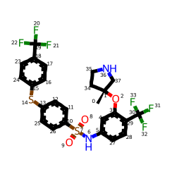 C[C@@]1(Oc2cc(NS(=O)(=O)c3ccc(Sc4ccc(C(F)(F)F)cc4)cc3)ccc2C(F)(F)F)CCNC1